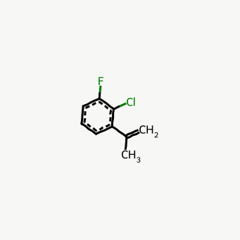 C=C(C)c1cccc(F)c1Cl